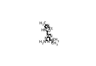 CCn1nc(C)cc1NC(=O)Cn1cnc2c(N(C)C)nc(N)nc21